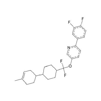 CC1=CCC(C2CCC(C(F)(F)Oc3ccc(-c4ccc(F)c(F)c4)nc3)CC2)CC1